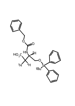 [2H]C([2H])(C(=O)O)[C@@]([2H])(CO[Si](c1ccccc1)(c1ccccc1)C(C)(C)C)NC(=O)OCc1ccccc1